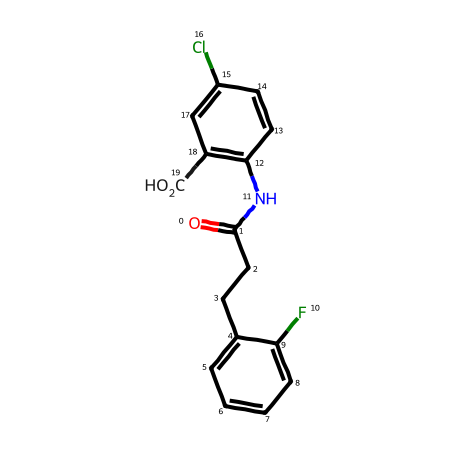 O=C(CCc1ccccc1F)Nc1ccc(Cl)cc1C(=O)O